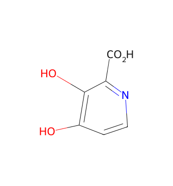 O=C(O)c1nccc(O)c1O